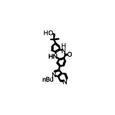 CCCCn1cc(-c2ccc3c(c2)Nc2ccc(C(C)(C)CO)cc2NC3=O)c2ccncc21